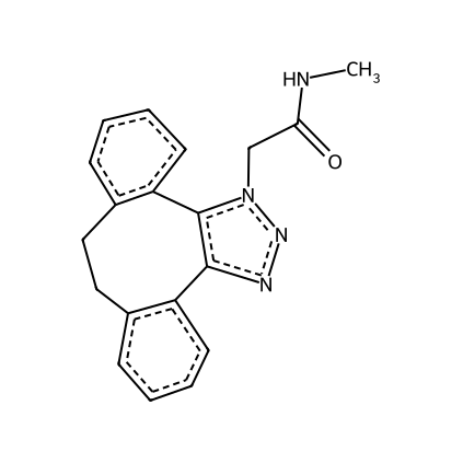 CNC(=O)Cn1nnc2c1-c1ccccc1CCc1ccccc1-2